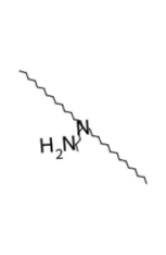 CCCCCCCCCCCCCCN(CCCCCCCCCCCCCC)CCC(C)N